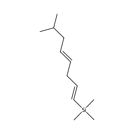 CC(C)CC=CCC=C[Si](C)(C)C